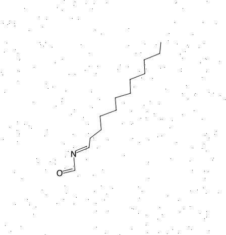 CCCCCCCCCCCC=NC=O